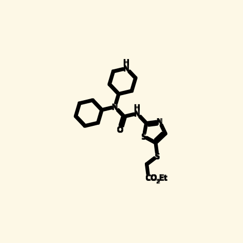 CCOC(=O)CSc1cnc(NC(=O)N(C2CCCCC2)C2CCNCC2)s1